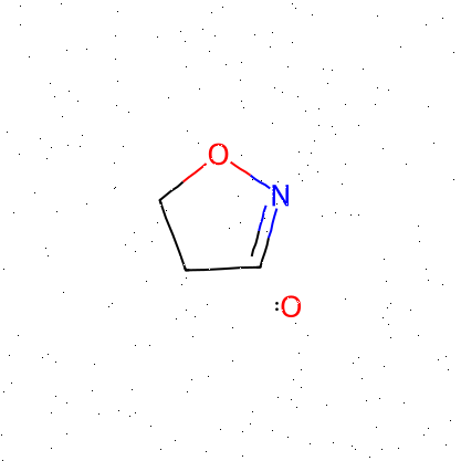 C1=NOCC1.[O]